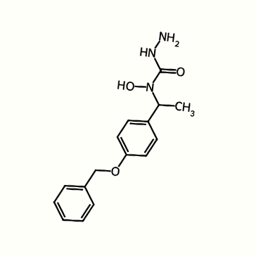 CC(c1ccc(OCc2ccccc2)cc1)N(O)C(=O)NN